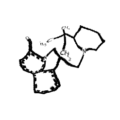 CC(C)(C)C1C[CH]CCN1CC1Cn2c(=O)ccc3cccc1c32